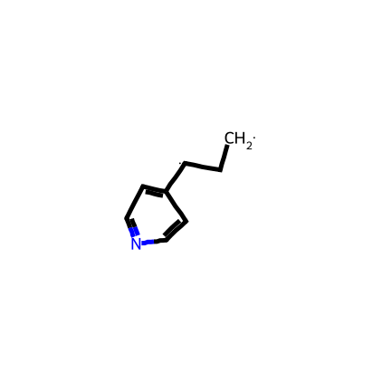 [CH2]C[CH]c1ccncc1